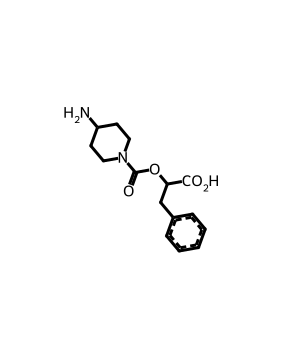 NC1CCN(C(=O)OC(Cc2ccccc2)C(=O)O)CC1